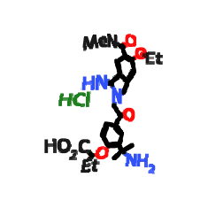 CCOc1cc2c(cc1C(=O)NC)C(=N)N(CC(=O)c1ccc(OC(CC)C(=O)O)c(C(C)(C)N)c1)C2.Cl